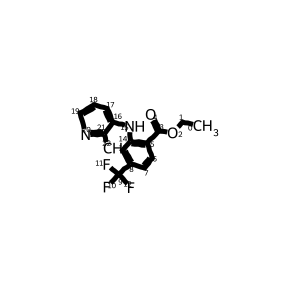 CCOC(=O)c1ccc(C(F)(F)F)cc1Nc1cccnc1C